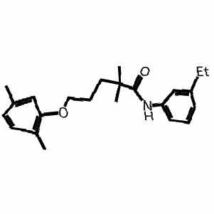 CCc1cccc(NC(=O)C(C)(C)CCCOc2cc(C)ccc2C)c1